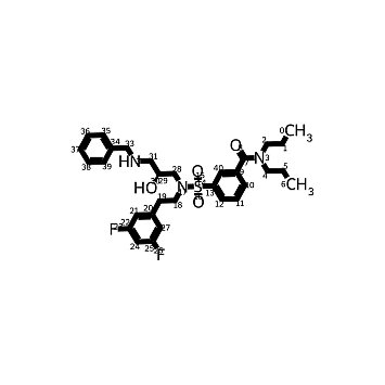 CCCN(CCC)C(=O)c1cccc(S(=O)(=O)N(CCc2cc(F)cc(F)c2)C[C@@H](O)CNCc2ccccc2)c1